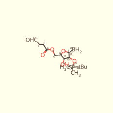 B[C@@H]1O[C@H](COC(=O)CCC=O)C(O)[C@@H]1O[Si](C)(C)C(C)(C)C